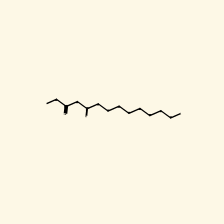 [CH2]CC(=O)CC(O)CCCCCCCCC